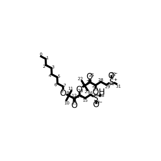 CCCCCCCCOC(C)(C)C(=O)C(CC[S+](C)[O-])OC(C)(C)C(=O)C(O)CC[S+](C)[O-]